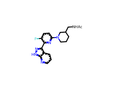 CC(=O)NCC1CCCN(c2ccc(F)c(-c3n[nH]c4ncccc34)n2)C1